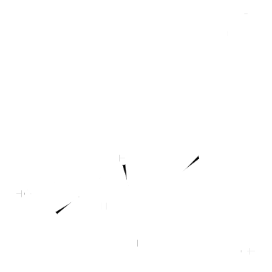 CCOCCCCC[C@@H]1C[C@@H]2[C@H](CC[C@]3(C)C(O)CC[C@@H]23)c2ccc(O)cc21